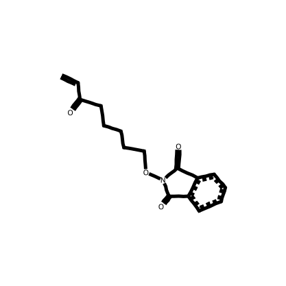 C=CC(=O)CCCCCON1C(=O)c2ccccc2C1=O